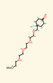 COCCOCCOCCOCCOCC1(F)CCC(=O)CC1